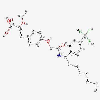 CCCCCCCC(NC(=O)COc1ccc(C[C@H](OCC)C(=O)O)cc1)c1ccc(C(F)(F)F)cc1